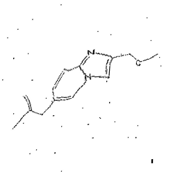 C=C(C)Cc1ccc2nc(COC)cn2c1